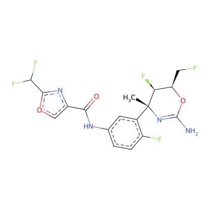 C[C@]1(c2cc(NC(=O)c3coc(C(F)F)n3)ccc2F)N=C(N)O[C@H](CF)[C@@H]1F